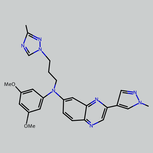 COc1cc(OC)cc(N(CCCn2cnc(C)n2)c2ccc3ncc(-c4cnn(C)c4)nc3c2)c1